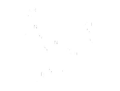 C/N=C/c1ncccc1N1CC(Cn2c(-c3cc4ccc(OC)nc4n3CC3CC3)nc3cc(C(=O)N4CC5CC6CC4[C@H]65)cc(OC)c32)C1